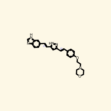 C(=C\c1cc(/C=C/c2ccc3nc[nH]c3c2)[nH]n1)/c1ccc(OCCN2CCOCC2)cc1